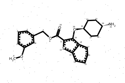 COc1cccc(COC(=O)c2sc3ccccc3c2O[C@H]2CC[C@H](N)CC2)c1